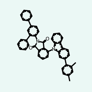 Cc1ccc(-c2ccc3c4ccccc4n(-c4cccc5c4C(=O)N(c4ccc(-c6ccccc6)cc4-c4ccccc4)C5=O)c3c2)c(C)c1